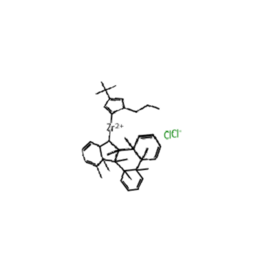 CCCC1C=C(C(C)(C)C)C=[C]1[Zr+2][CH]1C2C=CC=C(C)C2(C)C2(C)C3(C)C=CC=CC3(C)C3(C)C=CC=CC3(C)C12C.[Cl-].[Cl-]